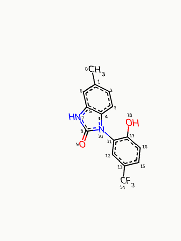 Cc1ccc2c(c1)[nH]c(=O)n2-c1cc(C(F)(F)F)ccc1O